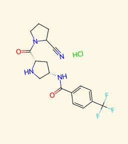 Cl.N#CC1CCCN1C(=O)[C@@H]1C[C@H](NC(=O)c2ccc(C(F)(F)F)cc2)CN1